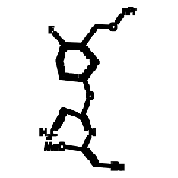 C=C/C(=N\C(=C/C(C)CC)OC)Oc1ccc(F)c(COCCC)c1